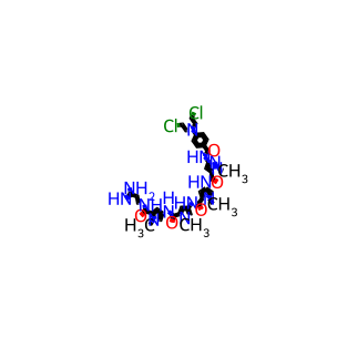 Cn1cc(NC(=O)c2cc(NC(=O)c3cc(NC(=O)c4cc(NC(=O)c5ccc(N(CCCl)CCCl)cc5)nn4C)cn3C)cn2C)cc1C(=O)NCCC(=N)N